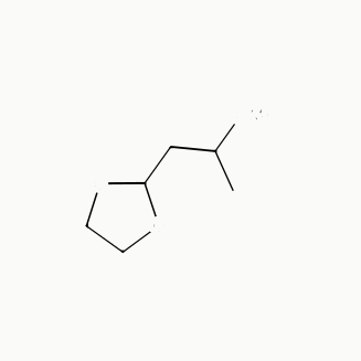 COC(C)C[C]1OCCO1